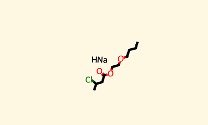 CCCCOCCOC(=O)CC(C)Cl.[NaH]